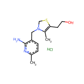 CC1=C(CCO)SCN1Cc1ccc(C)nc1N.Cl